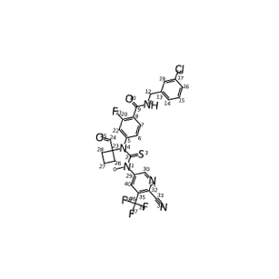 CN(C(=S)N(c1ccc(C(=O)NCc2cccc(Cl)c2)c(F)c1)C1(C=O)CCC1)c1cnc(C#N)c(C(F)(F)F)c1